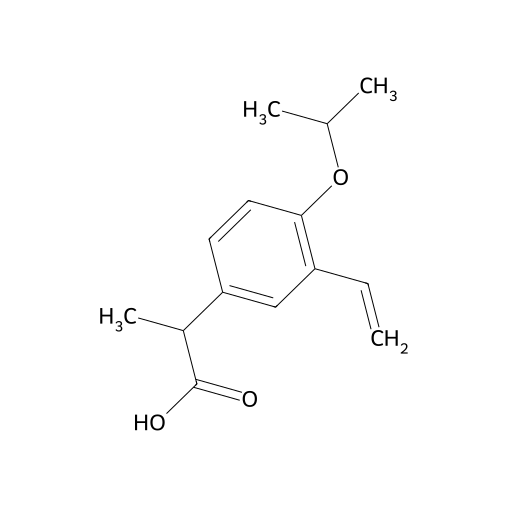 C=Cc1cc(C(C)C(=O)O)ccc1OC(C)C